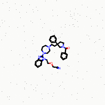 N#CCOCCn1c(N2CCCN(CCC3(c4ccccc4)CCN(C(=O)c4ccccc4)C3)CC2)nc2ccccc21